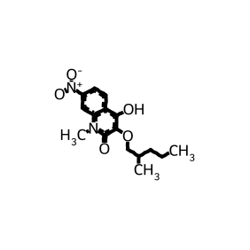 CCCC(C)COc1c(O)c2ccc([N+](=O)[O-])cc2n(C)c1=O